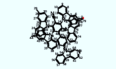 Cc1ccc2c(c1)c1ccccc1n2-c1c(C#N)c(-n2c3ccccc3c3cc(C)ccc32)c(-n2c3ccccc3c3cc(C)ccc32)c(-c2ccc(-n3c4ccccc4c4ccncc43)cc2)c1-n1c2ccccc2c2cc(C)ccc21